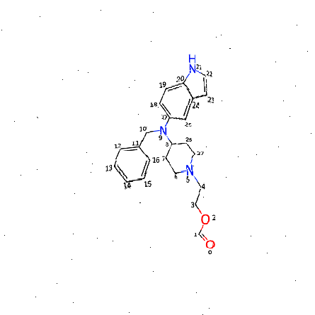 O=COCCN1CCC(N(Cc2ccccc2)c2ccc3[nH]ccc3c2)CC1